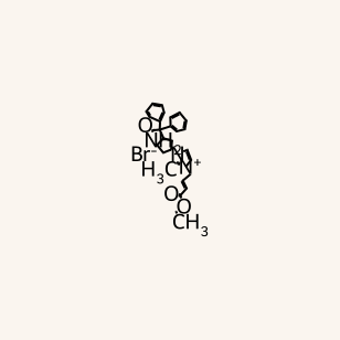 CCOC(=O)C=CC[n+]1ccn(C2CCC(C(C(N)=O)(c3ccccc3)c3ccccc3)C2)c1C.[Br-]